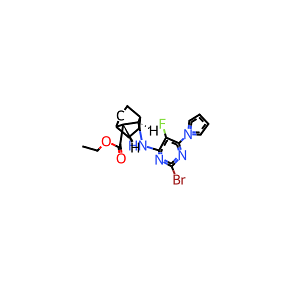 CCOC(=O)[C@@H]1C2CCC(CC2)[C@H]1Nc1nc(Br)nc(-n2cccc2)c1F